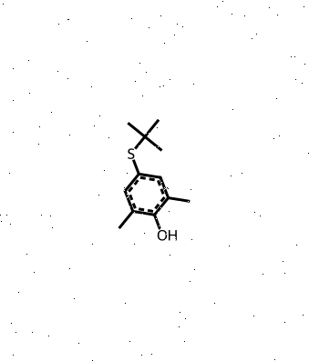 Cc1cc(SC(C)(C)C)cc(C)c1O